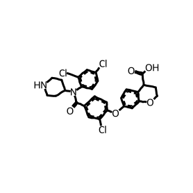 O=C(O)C1CCOc2cc(Oc3ccc(C(=O)N(c4ccc(Cl)cc4Cl)C4CCNCC4)cc3Cl)ccc21